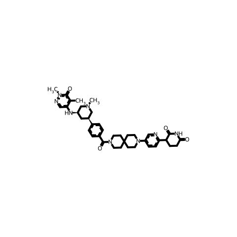 Cc1c(N[C@@H]2C[C@H](c3ccc(C(=O)N4CCC5(CC4)CCN(c4ccc(C6CCC(=O)NC6=O)nc4)CC5)cc3)CN(C)C2)cnn(C)c1=O